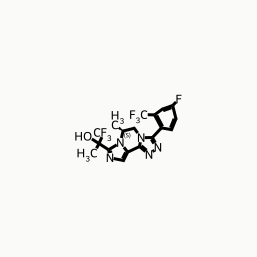 C[C@H]1Cn2c(-c3ccc(F)cc3C(F)(F)F)nnc2-c2cnc(C(C)(O)C(F)(F)F)n21